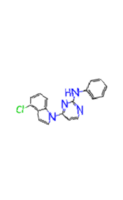 Clc1cccc2c1ccn2-c1ccnc(Nc2ccccc2)n1